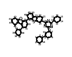 c1ccc(-c2cccc(-c3nc(-c4ccccc4)nc(-c4ccc5c(c4)sc4c(-c6ccc(-c7ccccc7)c7c6oc6ccccc67)cccc45)n3)c2)cc1